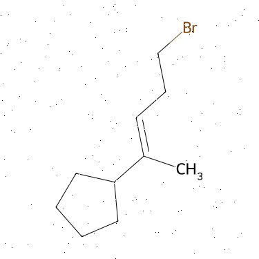 CC(=CCCBr)C1CCCC1